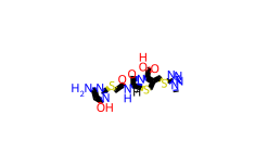 Cn1nnnc1SCC1=C(C(=O)O)N2C(=O)C(NC(=O)CSc3nc(N)cc(O)n3)[C@@H]2SC1